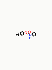 CCC(C)(C)c1ccc(OCC(=O)Nc2ccccc2)cc1